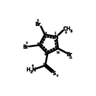 Cn1c(Br)c(Br)c(C(N)=S)c1Br